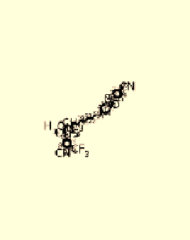 CC1(C)C(=O)N(c2ccc(C#N)c(C(F)(F)F)c2)C(=S)N1CCCCCCCCN1CCN(S(=O)(=O)c2ccc(C#N)cc2)CC1